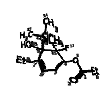 CCC(=O)OC1=CC=C(CC)C(O)([Si](C)(C)C)C1(F)F